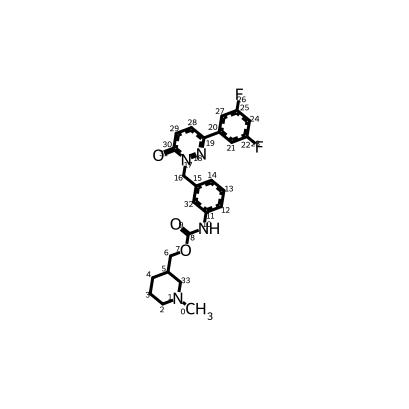 CN1CCCC(COC(=O)Nc2cccc(Cn3nc(-c4cc(F)cc(F)c4)ccc3=O)c2)C1